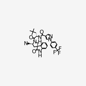 CC(C)(C)C[C@H](NC(=O)c1cnn(-c2ccc(C(F)(F)F)cc2)c1)C(=O)N1C[C@]2(C[C@H]1C#N)C(=O)Nc1ccccc12